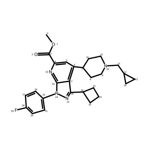 COC(=O)c1cc(C2CCN(CC3CC3)CC2)c2c(C3CCC3)nn(-c3ccc(F)cc3)c2n1